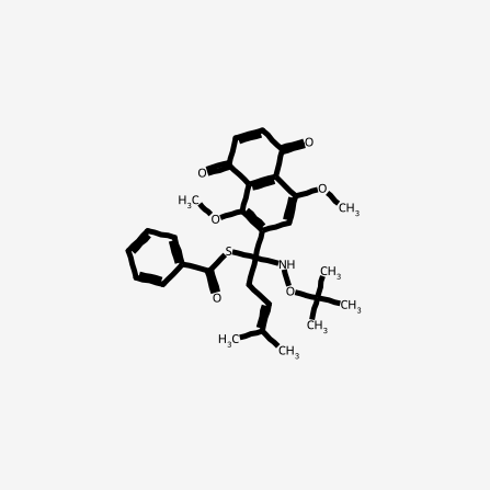 COc1cc(C(CC=C(C)C)(NOC(C)(C)C)SC(=O)c2ccccc2)c(OC)c2c1C(=O)C=CC2=O